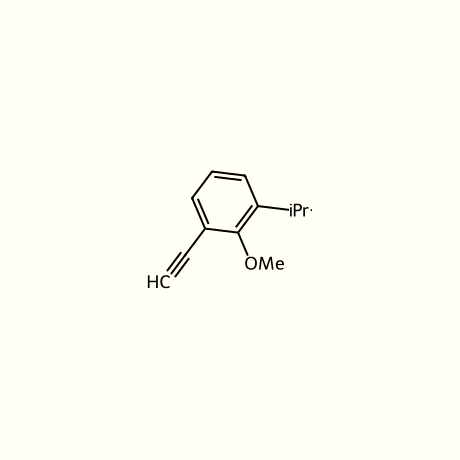 C#Cc1cccc([C](C)C)c1OC